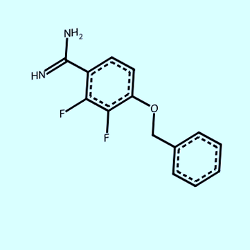 N=C(N)c1ccc(OCc2ccccc2)c(F)c1F